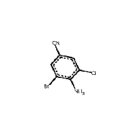 N#Cc1cc(Cl)c(N)c(Br)c1